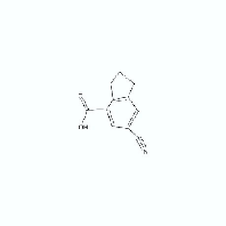 N#Cc1cc2c(c(C(=O)O)c1)CCC2